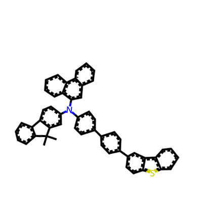 CC1(C)c2ccccc2-c2ccc(N(c3ccc(-c4ccc(-c5ccc6sc7ccccc7c6c5)cc4)cc3)c3cc4ccccc4c4ccccc34)cc21